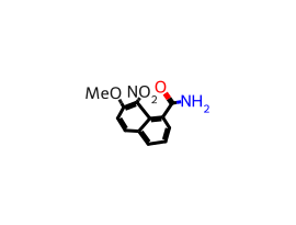 COc1ccc2cccc(C(N)=O)c2c1[N+](=O)[O-]